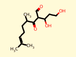 CC(C)=CCCC(C)C(=O)C([C]=O)C(O)CCO